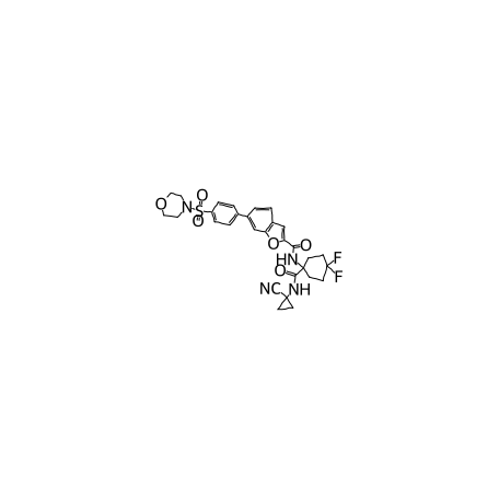 N#CC1(NC(=O)C2(NC(=O)c3cc4ccc(-c5ccc(S(=O)(=O)N6CCOCC6)cc5)cc4o3)CCC(F)(F)CC2)CC1